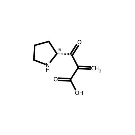 C=C(C(=O)O)C(=O)[C@H]1CCCN1